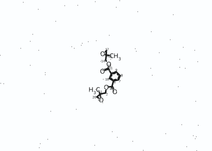 CC1(COC(=O)c2cccc(C(=O)OCC3(C)CO3)c2)CO1